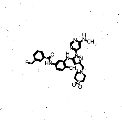 CNc1cc(-n2nc(CN3CCS(=O)(=O)CC3)cc2Nc2cc(NC(=O)c3cccc(CF)c3)ccc2C)ncn1